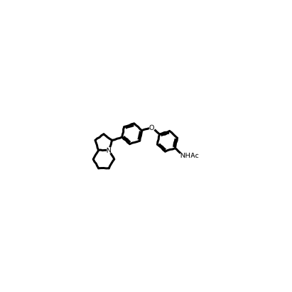 CC(=O)Nc1ccc(Oc2ccc(C3CCC4CCCCN43)cc2)cc1